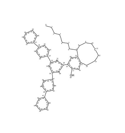 CCCCCCCC1CCCCCCCc2cc(O)c(-c3nc(-c4ccc(-c5ccccc5)cc4)nc(-c4ccc(-c5ccccc5)cc4)n3)cc21